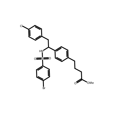 COC(=O)CCCc1ccc(C(Cc2ccc(Cl)cc2)NS(=O)(=O)c2ccc(Br)cc2)cc1